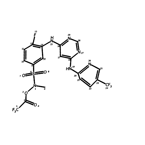 CN(OC(=O)C(F)(F)F)S(=O)(=O)c1ccc(F)c(Nc2cc(Nc3ccc(C(F)(F)F)cn3)ncn2)c1